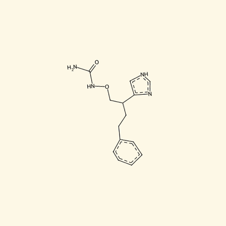 NC(=O)NOCC(CCc1ccccc1)c1c[nH]cn1